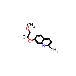 COC[C@@H](C)Oc1ccc2ccc(C)nc2c1